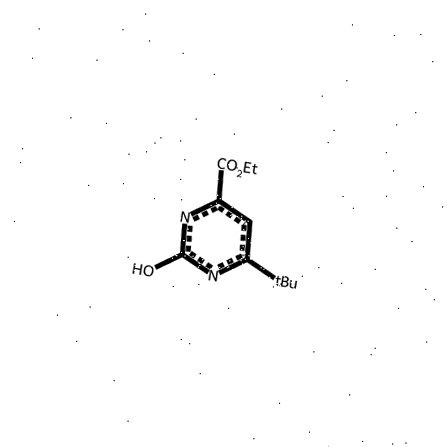 CCOC(=O)c1cc(C(C)(C)C)nc(O)n1